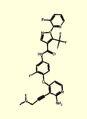 CN(C)CC#Cc1c(Oc2ccc(NC(=O)c3cnn(-c4ncccc4F)c3C(F)(F)F)cc2F)ccnc1N